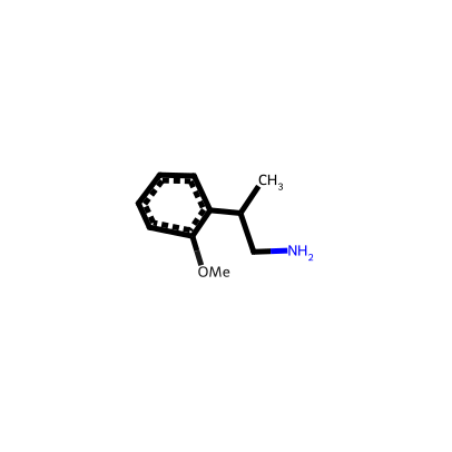 COc1ccccc1C(C)CN